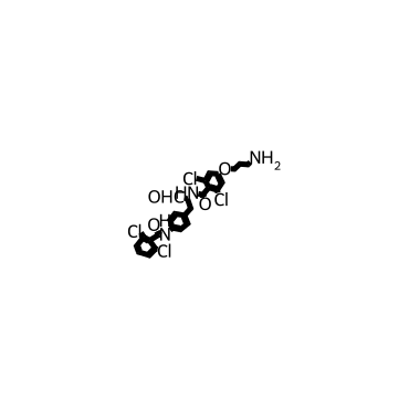 NCCCOc1cc(Cl)c(C(=O)NC(C=O)Cc2ccc(NC(=O)c3c(Cl)cccc3Cl)cc2)c(Cl)c1